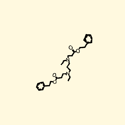 CCN(CCCN(CC)CCC(=O)OCCc1ccccc1)CCC(=O)OCCc1ccccc1